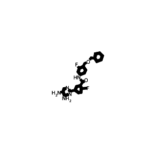 Nc1cnc(-c2ccc(F)c(C(=O)Nc3ccc(COCc4ccccc4)c(F)c3)c2)nc1N